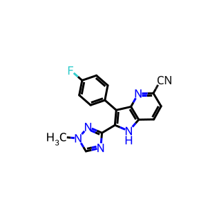 Cn1cnc(-c2[nH]c3ccc(C#N)nc3c2-c2ccc(F)cc2)n1